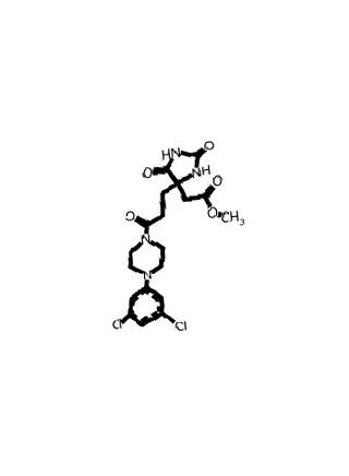 COC(=O)CC1(CCC(=O)N2CCN(c3cc(Cl)cc(Cl)c3)CC2)NC(=O)NC1=O